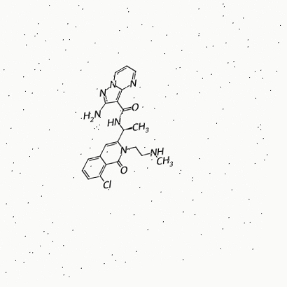 CNCCn1c([C@H](C)NC(=O)c2c(N)nn3cccnc23)cc2cccc(Cl)c2c1=O